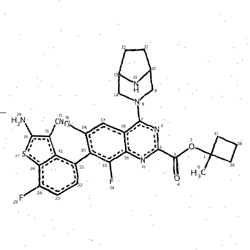 CC1(OC(=O)c2nc(N3CC4CCC(C3)N4)c3cc(Cl)c(-c4ccc(F)c5sc(N)c(C#N)c45)c(F)c3n2)CCC1